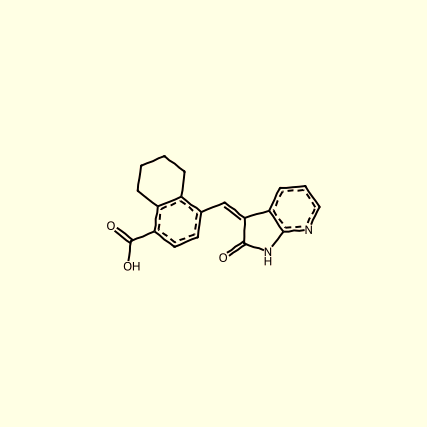 O=C1Nc2ncccc2C1=Cc1ccc(C(=O)O)c2c1CCCC2